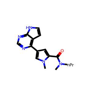 CCCN(C)C(=O)c1cc(-c2ncnc3[nH]ccc23)cn1C